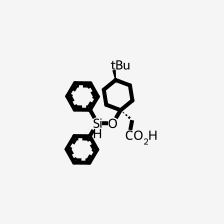 CC(C)(C)[C@H]1CC[C@@](CC(=O)O)(O[SiH](c2ccccc2)c2ccccc2)CC1